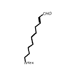 CCCCCCCCCCCCCC=CC=O